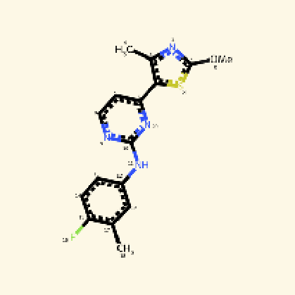 COc1nc(C)c(-c2ccnc(Nc3ccc(F)c(C)c3)n2)s1